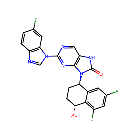 O=c1[nH]c2cnc(-n3cnc4ccc(F)cc43)nc2n1[C@@H]1CC[C@@H](O)c2c(F)cc(F)cc21